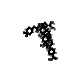 CC(C)[C@@H]1CC[C@]2(NC(=O)CN3CCS(=O)(=O)CC3)CC[C@]3(C)[C@H](CC[C@@H]4[C@@]5(C)CCC(c6ccc(C(=O)O)cc6)C(C)(C)[C@@H]5CC[C@]43C)[C@@H]12